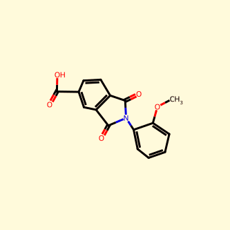 COc1ccccc1N1C(=O)c2ccc(C(=O)O)cc2C1=O